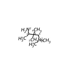 CC(N)C(C)(C)CN(C)C